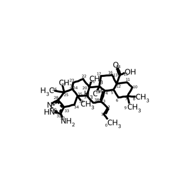 C/C=C/C1=C2C3CC(C)(C)CCC3(C(=O)O)CCC2(C)C2(C)CCC3C(C)(C)c4n[nH]c(N)c4CC3(C)C2C1